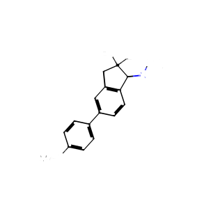 CCC1(CC)Cc2cc(-c3ccc(OC)cc3)ccc2C1NC(=O)O